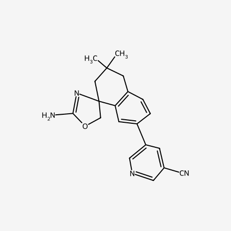 CC1(C)Cc2ccc(-c3cncc(C#N)c3)cc2C2(COC(N)=N2)C1